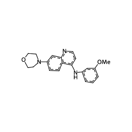 COc1cccc(Nc2ccnc3cc(N4CCOCC4)ccc23)c1